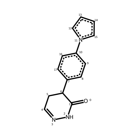 O=C1NN=CCC1c1ccc(-n2cccc2)cc1